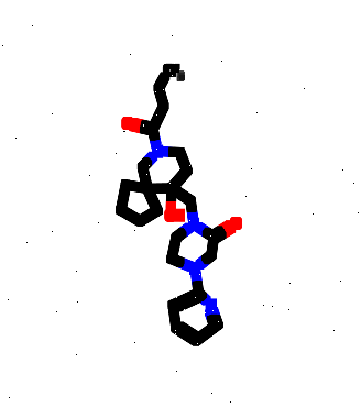 O=C1CN(c2ccccn2)CCN1CC1(O)CCN(C(=O)CCC(F)(F)F)CC12CCCC2